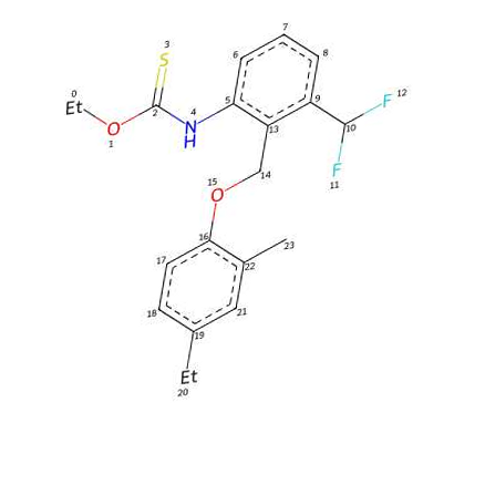 CCOC(=S)Nc1cccc(C(F)F)c1COc1ccc(CC)cc1C